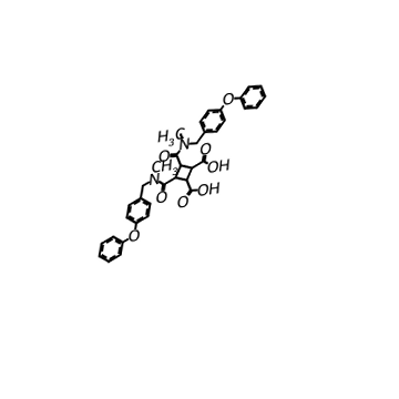 CN(Cc1ccc(Oc2ccccc2)cc1)C(=O)C1C(C(=O)O)C(C(=O)O)C1C(=O)N(C)Cc1ccc(Oc2ccccc2)cc1